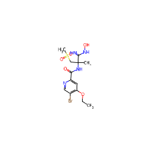 CC(CS(C)(=O)=O)(NC(=O)c1cc(OCC(F)(F)F)c(Br)cn1)C(=N)NO